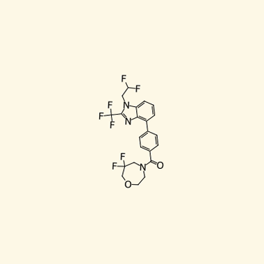 O=C(c1ccc(-c2cccc3c2nc(C(F)(F)F)n3CC(F)F)cc1)N1CCOCC(F)(F)C1